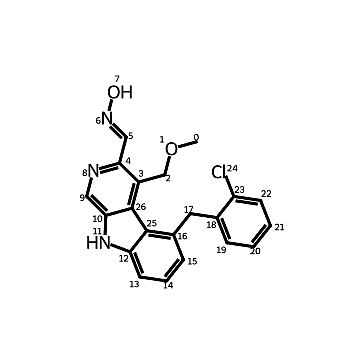 COCc1c(C=NO)ncc2[nH]c3cccc(Cc4ccccc4Cl)c3c12